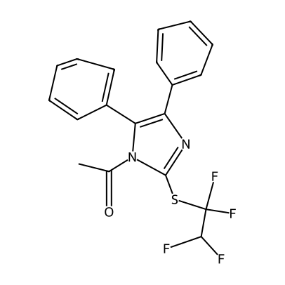 CC(=O)n1c(SC(F)(F)C(F)F)nc(-c2ccccc2)c1-c1ccccc1